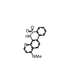 CNc1ccnc2c3c(ccc12)-c1ccccc1S(=O)(=O)N3